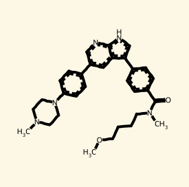 COCCCCN(C)C(=O)c1ccc(-c2c[nH]c3ncc(-c4ccc(N5CCN(C)CC5)cc4)cc23)cc1